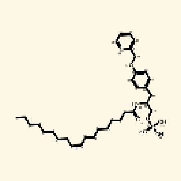 CCCCCCCC/C=C\CCCCCCCC(=O)NC(COP(=O)(O)O)Cc1ccc(OCc2ccccn2)cc1